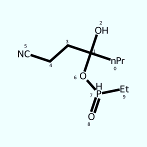 CCCC(O)(CCC#N)O[PH](=O)CC